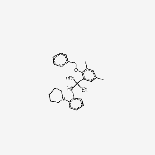 CCCC(CC)(Pc1ccccc1N1CCCCC1)c1cc(C)cc(C)c1OCc1ccccc1